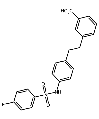 O=C(O)c1cccc(CCc2ccc(NS(=O)(=O)c3ccc(F)cc3)cc2)c1